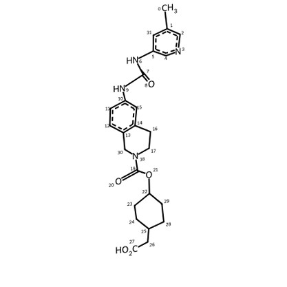 Cc1cncc(NC(=O)Nc2ccc3c(c2)CCN(C(=O)OC2CCC(CC(=O)O)CC2)C3)c1